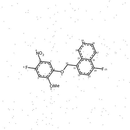 COc1cc(F)c([N+](=O)[O-])cc1OCc1ccc(F)c2ccncc12